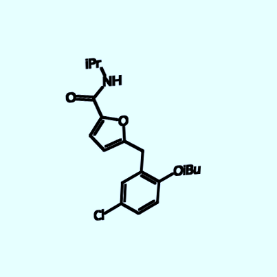 CC(C)COc1ccc(Cl)cc1Cc1ccc(C(=O)NC(C)C)o1